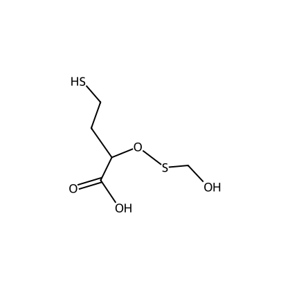 O=C(O)C(CCS)OSCO